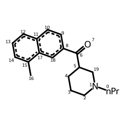 CCCN1CCCC(C(=O)c2ccc3cccc(C)c3c2)C1